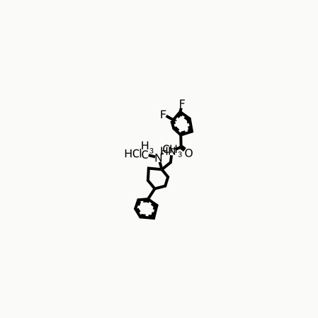 CN(C)C1(CNC(=O)c2ccc(F)c(F)c2)CCC(c2ccccc2)CC1.Cl